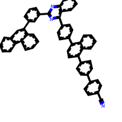 N#Cc1ccc(-c2ccc(-c3ccc(-c4ccc(-c5nc(-c6cccc(-c7cc8ccccc8c8ccccc78)c6)nc6ccccc56)cc4)c4ccccc34)cc2)cc1